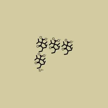 CCC(CC)C(=O)C(C(=O)[O-])(C(C)C)C(C)C.CCC(CC)C(=O)C(C(=O)[O-])(C(C)C)C(C)C.CCC(CC)C(=O)C(C(=O)[O-])(C(C)C)C(C)C.CCC(CC)C(=O)C(C(=O)[O-])(C(C)C)C(C)C.[Ti+4]